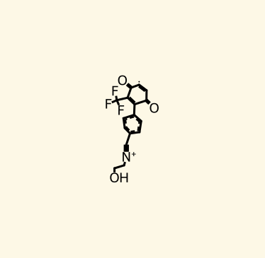 O=C1[C]=CC(=O)C(c2ccc(C#[N+]CCO)cc2)=C1C(F)(F)F